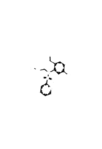 CCOCN(c1cc(Br)ccc1CO)S(=O)(=O)c1ccccn1